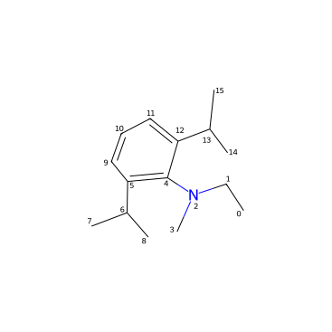 CCN(C)c1c(C(C)C)cccc1C(C)C